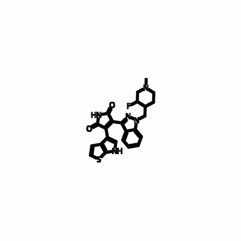 CN1CCC(Cn2nc(C3=C(c4c[nH]c5sccc45)C(=O)NC3=O)c3ccccc32)C(F)C1